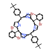 CC(C)(C)c1ccc(-c2c3nc(c(-c4c(Br)cccc4Br)c4ccc([nH]4)c(-c4ccc(C(C)(C)C)cc4)c4nc(c(-c5c(Br)cccc5Br)c5ccc2[nH]5)C=C4)C=C3)cc1